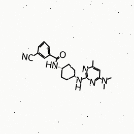 Cc1cc(N(C)C)nc(N[C@H]2CC[C@@H](NC(=O)c3cccc(C#N)c3)CC2)n1